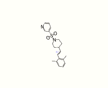 Cc1cccc(C)c1/C=C/C1CCN(S(=O)(=O)c2cccnc2)CC1